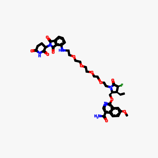 CC[C@@H]1[C@H](F)C(=O)N(CCOCCOCCOCCOCCNc2cccc3c2C(=O)N(C2CCC(=O)NC2=O)C3=O)[C@@H]1COc1ncc(C(N)=O)c2ccc(OC)cc12